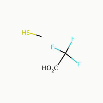 CS.O=C(O)C(F)(F)F